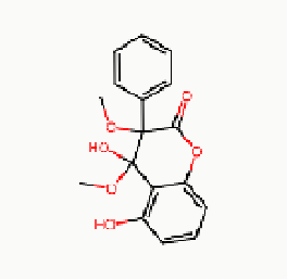 COC1(O)c2c(O)cccc2OC(=O)C1(OC)c1ccccc1